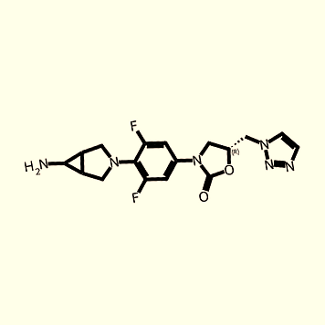 NC1C2CN(c3c(F)cc(N4C[C@H](Cn5ccnn5)OC4=O)cc3F)CC12